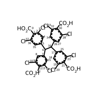 O=C(O)c1c(Cl)cc(C(c2cc(Cl)c(C(=O)O)c(Cl)c2)C(c2cc(Cl)c(C(=O)O)c(Cl)c2)c2cc(Cl)c(C(=O)O)c(Cl)c2)cc1Cl